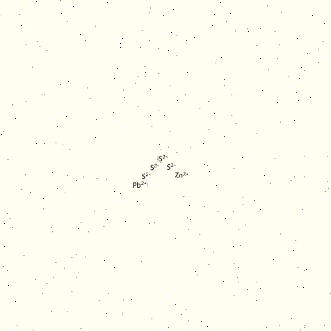 [Pb+2].[S+2].[S-2].[S-2].[S-2].[Zn+2]